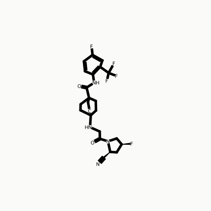 N#C[C@@H]1C[C@H](F)CN1C(=O)CNC12CCC(C(=O)Nc3ccc(F)cc3C(F)(F)F)(CC1)CC2